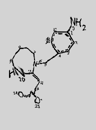 Nc1ccc(CN2CCCNC2=C[N+](=O)[O-])cc1